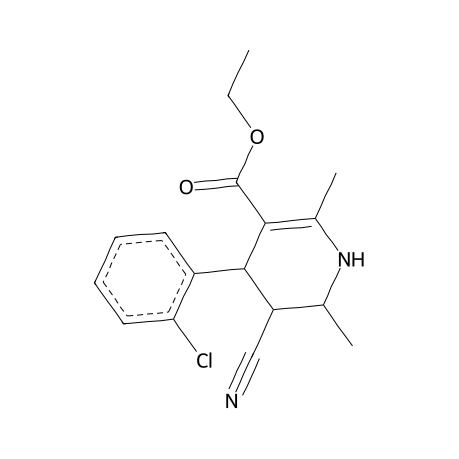 CCOC(=O)C1=C(C)NC(C)C(C#N)C1c1ccccc1Cl